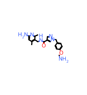 Cc1cc(N)nc(C)c1CNC(=O)c1cnn(Cc2ccc(OCN)cc2)c1